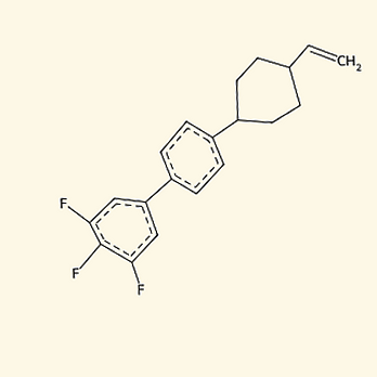 C=CC1CCC(c2ccc(-c3cc(F)c(F)c(F)c3)cc2)CC1